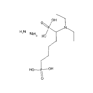 CCN(CC)C(CCCCP(=O)(O)O)P(=O)(O)O.N.N